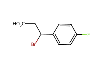 O=C(O)CC(Br)c1ccc(F)cc1